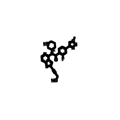 Cn1cc(-c2ccc(C(=O)N(c3nccc4sc(C#CCO)cc34)[C@@H]3CCCNC3)c(F)c2)nn1